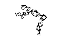 N#Cc1ccc(COc2cccc(N3CCN(Cc4cn5nc(C(=O)O)cc5n4CC4CCO4)CC3)n2)c(F)c1